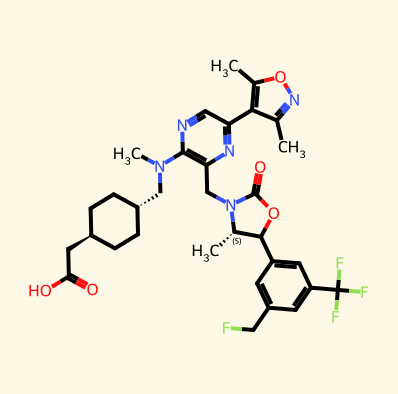 Cc1noc(C)c1-c1cnc(N(C)C[C@H]2CC[C@H](CC(=O)O)CC2)c(CN2C(=O)OC(c3cc(CF)cc(C(F)(F)F)c3)[C@@H]2C)n1